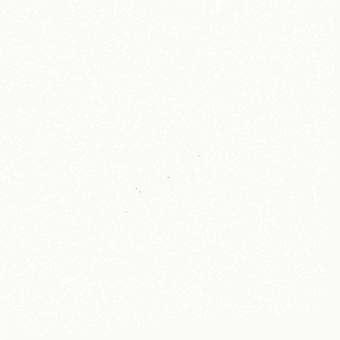 CCCCC(C)/C=C/CNCC